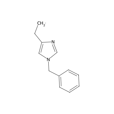 [CH2]Cc1cn(Cc2ccccc2)cn1